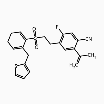 C=C(C)c1cc(CCS(=O)(=O)C2=CCCC=C2Cc2cccs2)c(F)cc1C#N